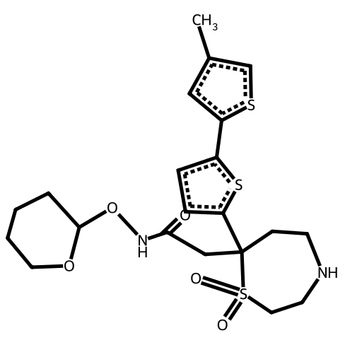 Cc1csc(-c2ccc(C3(CC(=O)NOC4CCCCO4)CCNCCS3(=O)=O)s2)c1